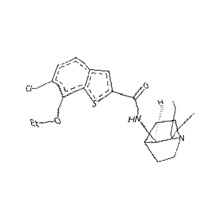 CCOc1c(Cl)ccc2cc(C(=O)N[C@@H]3C4CCN(CC4)C3(C)C)sc12